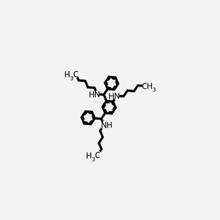 CCCCCNc1ccc(C(NCCCCC)c2ccccc2)cc1C(NCCCCC)c1ccccc1